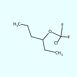 CCCC(CC)OC(F)(F)Cl